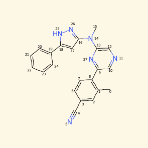 Cc1cc(C#N)ccc1-c1cncc(N(C)c2cc(-c3ccccc3)[nH]n2)n1